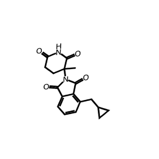 CC1(N2C(=O)c3cccc(CC4CC4)c3C2=O)CCC(=O)NC1=O